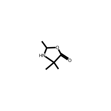 CC1NC(C)(C)C(=O)O1